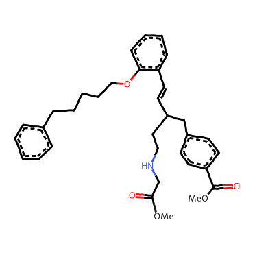 COC(=O)CNCCC(C=Cc1ccccc1OCCCCCc1ccccc1)Cc1ccc(C(=O)OC)cc1